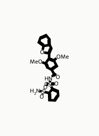 COc1cc(C(=O)NS(=O)(=O)c2ccccc2S(N)(=O)=O)cc(OC)c1-c1cc2ccccc2o1